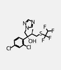 C[C@@H](CSC(F)(F)C(F)F)[C@](O)(Cn1cncn1)c1ccc(Cl)cc1Cl